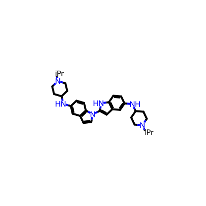 CC(C)N1CCC(Nc2ccc3[nH]c(-n4ccc5cc(NC6CCN(C(C)C)CC6)ccc54)cc3c2)CC1